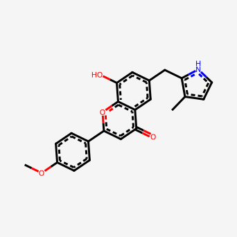 COc1ccc(-c2cc(=O)c3cc(Cc4[nH]ccc4C)cc(O)c3o2)cc1